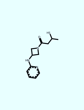 CC(S)CC(=O)N1CC(Nc2ccccn2)C1